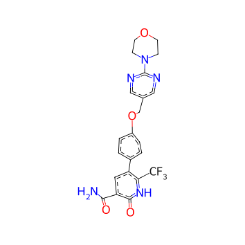 NC(=O)c1cc(-c2ccc(OCc3cnc(N4CCOCC4)nc3)cc2)c(C(F)(F)F)[nH]c1=O